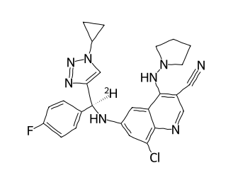 [2H][C@](Nc1cc(Cl)c2ncc(C#N)c(NN3CCCC3)c2c1)(c1ccc(F)cc1)c1cn(C2CC2)nn1